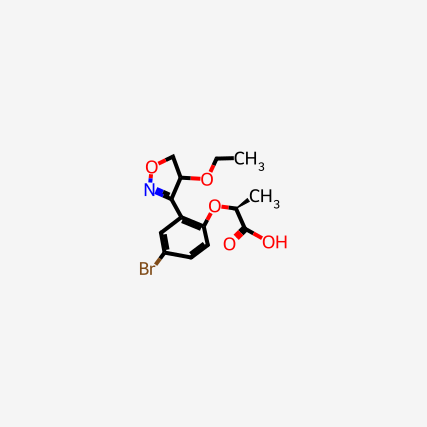 CCOC1CON=C1c1cc(Br)ccc1O[C@@H](C)C(=O)O